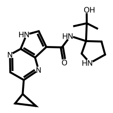 CC(C)(O)C1(NC(=O)c2c[nH]c3ncc(C4CC4)nc23)CCNC1